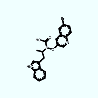 CC(Cc1c[nH]c2ccccc12)N(Oc1cnc2ccc(Br)cc2c1)C(=O)O